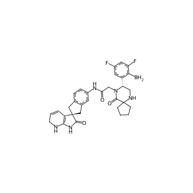 Bc1c(F)cc(F)cc1[C@@H]1CNC2(CCCC2)C(=O)N1CC(=O)Nc1ccc2c(c1)C[C@@]1(C2)C(=O)NC2=C1C=CCN2